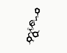 O=C(OC1C[N+]2(CCSc3ccccc3)CCC1CC2)N(Cc1ccc(F)c(F)c1)c1cccc(F)c1